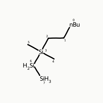 CCCCCC[Si](C)(C)[SiH2][SiH3]